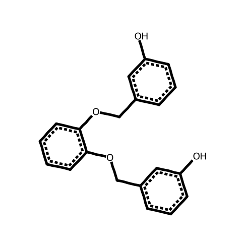 Oc1cccc(COc2ccccc2OCc2cccc(O)c2)c1